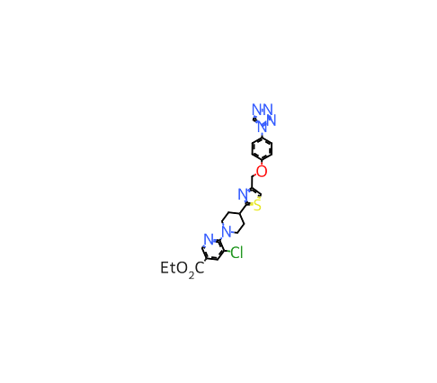 CCOC(=O)c1cnc(N2CCC(c3nc(COc4ccc(-n5cnnn5)cc4)cs3)CC2)c(Cl)c1